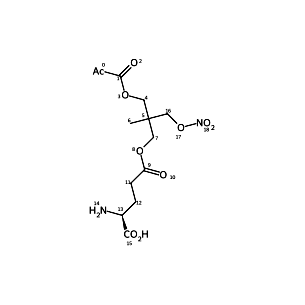 CC(=O)C(=O)OCC(C)(COC(=O)CC[C@H](N)C(=O)O)CO[N+](=O)[O-]